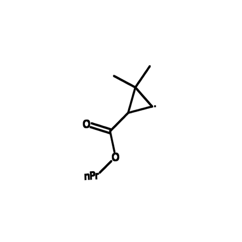 CCCOC(=O)C1[CH]C1(C)C